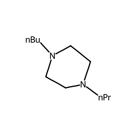 [CH2]CCN1CCN(CCCC)CC1